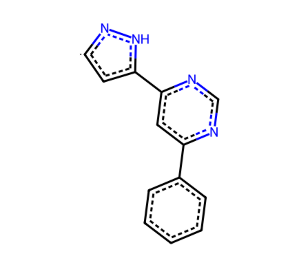 [c]1cc(-c2cc(-c3ccccc3)ncn2)[nH]n1